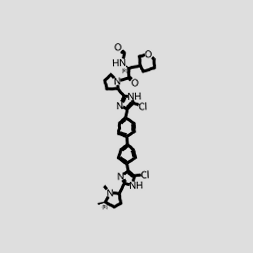 C[C@@H]1CCC(c2nc(-c3ccc(-c4ccc(-c5nc(C6CCCN6C(=O)[C@H](NC=O)C6CCCOC6)[nH]c5Cl)cc4)cc3)c(Cl)[nH]2)N1C